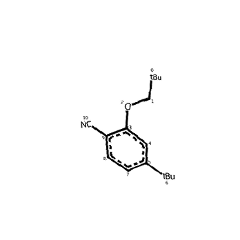 CC(C)(C)COc1cc(C(C)(C)C)ccc1C#N